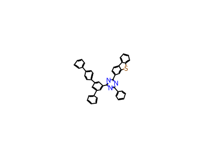 c1ccc(-c2ccc(-c3cc(-c4ccccc4)cc(-c4nc(-c5ccccc5)nc(-c5ccc6c(c5)sc5ccccc56)n4)c3)cc2)cc1